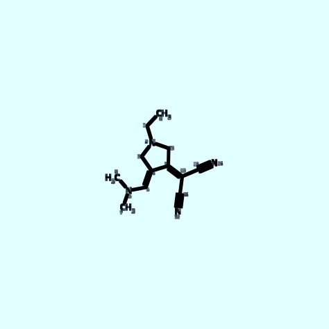 CCN1CC(=CN(C)C)C(=C(C#N)C#N)C1